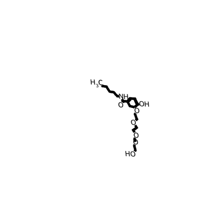 CCCCCCNC(=O)C1=CC=C(O)C(OCCOCCOCOCCO)C1